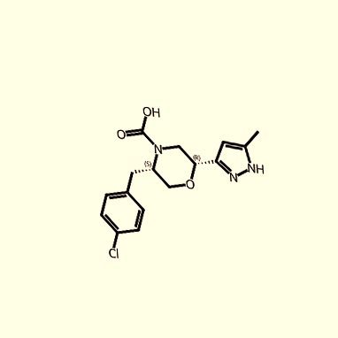 Cc1cc([C@H]2CN(C(=O)O)[C@@H](Cc3ccc(Cl)cc3)CO2)n[nH]1